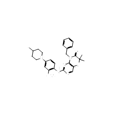 COc1cc(N2CCC(C)CC2)ccc1Nc1ncc2c(n1)N(Cc1ccccc1)C(=O)C(C)(C)O2